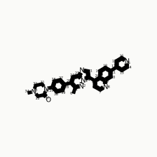 Cc1nn2c(-c3ccnc4cc(-c5ccncc5)ccc34)cnc2cc1-c1ccc(N2CCN(C)CC2=O)cc1